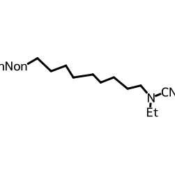 CCCCCCCCCCCCCCCCCCN(C#N)CC